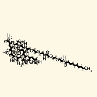 CCCCCCCCCC(=O)NCCOCCOCC(=O)NCCOCCOCC(=O)NCC(=O)N[C@H](CO)C(=O)NC(CCC(N)=O)C(=O)NC(CO)C(=O)NC(CO)C(=O)NC(CCC(N)=O)C(=O)NC(Cc1c[nH]cn1)C(=O)NCC